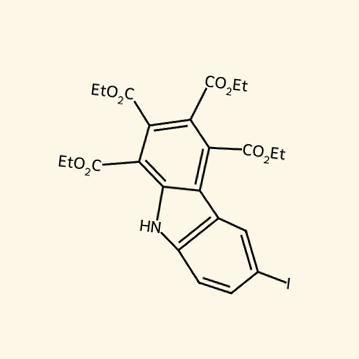 CCOC(=O)c1c(C(=O)OCC)c(C(=O)OCC)c2c([nH]c3ccc(I)cc32)c1C(=O)OCC